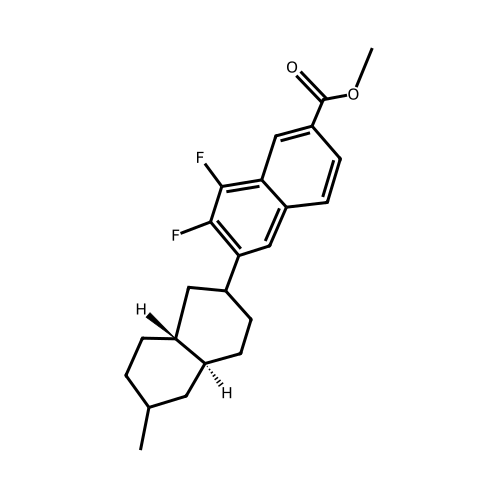 COC(=O)c1ccc2cc(C3CC[C@H]4CC(C)CC[C@@H]4C3)c(F)c(F)c2c1